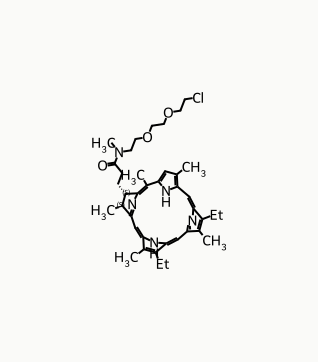 CCC1=C(C)c2cc3[nH]c(cc4nc(c(C)c5cc(C)c(cc1n2)[nH]5)[C@@H](CCC(=O)N(C)CCOCCOCCCl)[C@@H]4C)c(C)c3CC